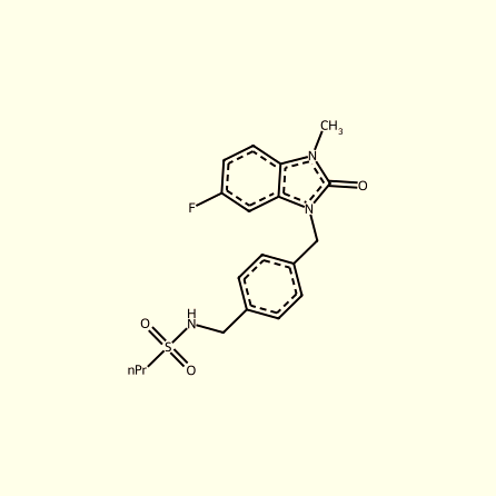 CCCS(=O)(=O)NCc1ccc(Cn2c(=O)n(C)c3ccc(F)cc32)cc1